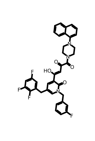 O=C(/C=C(\O)c1cc(Cc2cc(F)cc(F)c2F)cn(Cc2cccc(F)c2)c1=O)C(=O)N1CCN(c2cccc3ccccc23)CC1